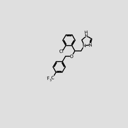 FC(F)(F)c1ccc(COC(CN2CNC=N2)c2ccccc2Cl)cc1